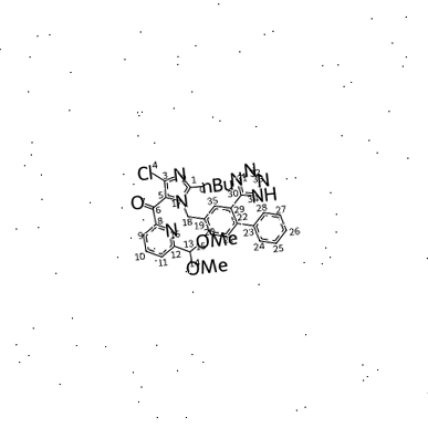 CCCCc1nc(Cl)c(C(=O)c2cccc(C(OC)OC)n2)n1Cc1ccc(-c2ccccc2)c(-c2nnn[nH]2)c1